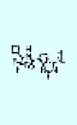 CNc1nc(C)nc2c(C(=O)NC(C3CCC3)C(F)(F)F)ccn12